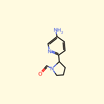 Nc1ccc(C2CCCN2C=O)nc1